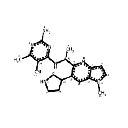 Cc1nc(N)nc(N[C@@H](C)c2nc3ccn(C)c3cc2C2CCNC2)c1C#N